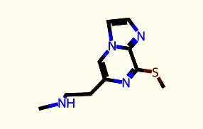 CNCCc1cn2ccnc2c(SC)n1